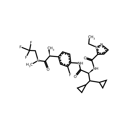 CCn1nccc1C(=O)N[C@H](C(=O)Nc1ccc([C@H](C)C(=O)N(C)CC(F)(F)F)cc1F)C(C1CC1)C1CC1